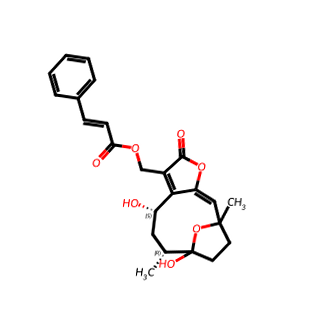 C[C@@H]1C[C@H](O)C2=C(COC(=O)C=Cc3ccccc3)C(=O)OC2=CC2(C)CCC1(O)O2